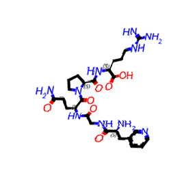 N=C(N)NCCC[C@H](NC(=O)[C@@H]1CCCN1C(=O)[C@H](CCC(N)=O)NC(=O)CNC(=O)[C@@H](N)Cc1cccnc1)C(=O)O